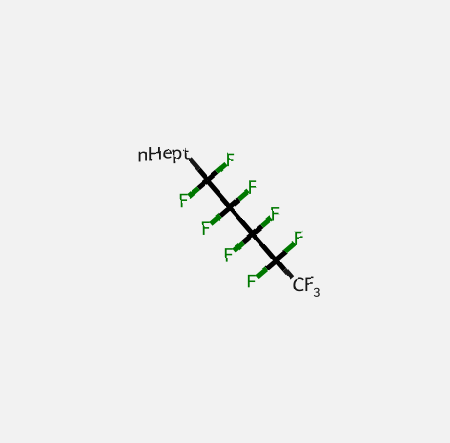 [CH2]CCCCCCC(F)(F)C(F)(F)C(F)(F)C(F)(F)C(F)(F)F